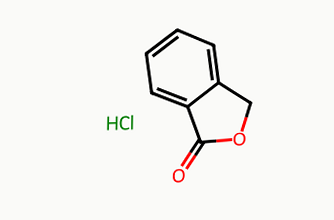 Cl.O=C1OCc2ccccc21